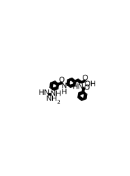 N=C(N)Nc1cccc(C(=O)Nc2ccc(/C=C(\NC(=O)c3ccccc3)C(=O)O)cc2)c1